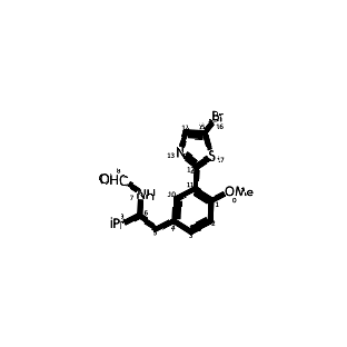 COc1ccc(CC(NC=O)C(C)C)cc1-c1ncc(Br)s1